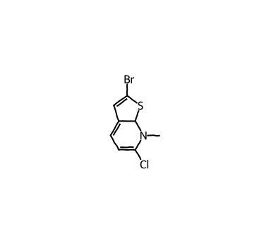 CN1C(Cl)=CC=C2C=C(Br)SC21